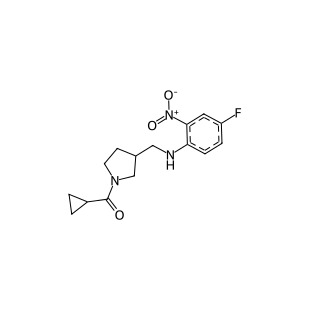 O=C(C1CC1)N1CCC(CNc2ccc(F)cc2[N+](=O)[O-])C1